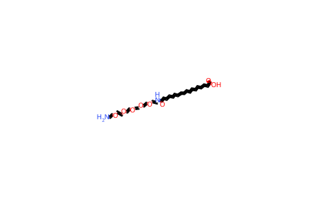 NCCOCCOCCOCCOCCOCCNC(=O)CCCCCCCCCCCCCCCCC(=O)O